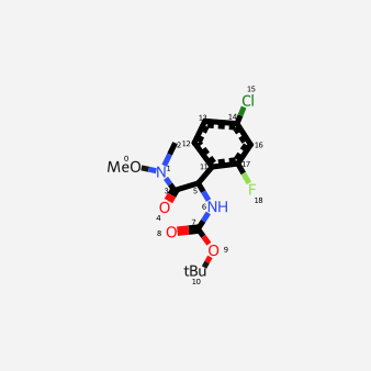 CON(C)C(=O)C(NC(=O)OC(C)(C)C)c1ccc(Cl)cc1F